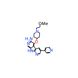 COCCN1CCC(Oc2c(N)ncc3[nH]c4ncc(-c5ccncc5)cc4c23)CC1